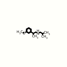 COc1cccc(C(C)CNCC(C)C)c1